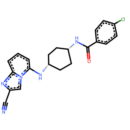 N#Cc1cn2c(N[C@H]3CC[C@@H](NC(=O)c4ccc(Cl)cc4)CC3)cccc2n1